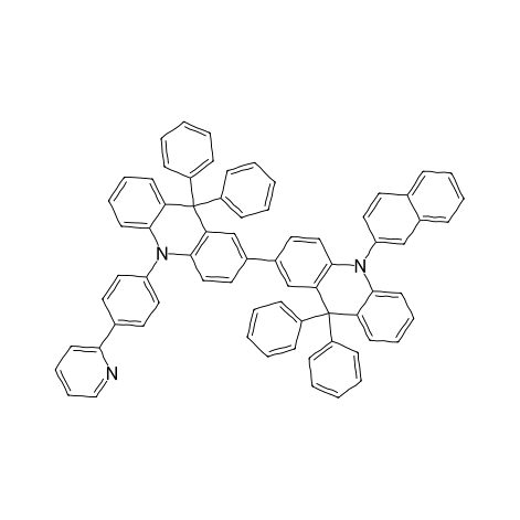 c1ccc(C2(c3ccccc3)c3ccccc3N(c3ccc(-c4ccccn4)cc3)c3ccc(-c4ccc5c(c4)C(c4ccccc4)(c4ccccc4)c4ccccc4N5c4ccc5ccccc5c4)cc32)cc1